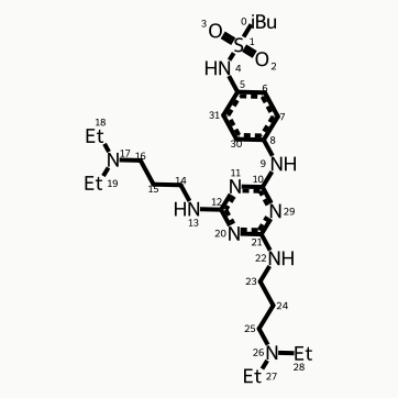 CCC(C)S(=O)(=O)Nc1ccc(Nc2nc(NCCCN(CC)CC)nc(NCCCN(CC)CC)n2)cc1